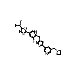 Fc1cc(-c2nnc(C(F)F)o2)cnc1Cn1cc(-c2cncc(CN3CCC3)c2)nn1